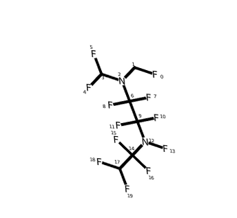 FCN(C(F)F)C(F)(F)C(F)(F)N(F)C(F)(F)C(F)F